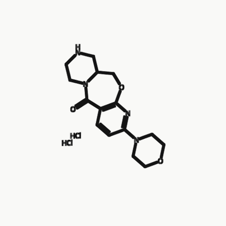 Cl.Cl.O=C1c2ccc(N3CCOCC3)nc2OCC2CNCCN12